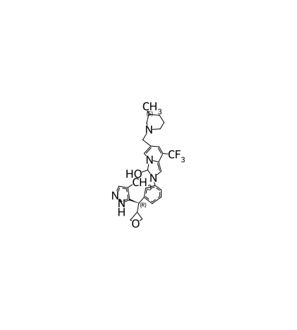 Cc1cn[nH]c1[C@@H](c1cccc(N2C=C3C(C(F)(F)F)=CC(CN4CCC[C@H](C)C4)=CN3C2O)c1)C1COC1